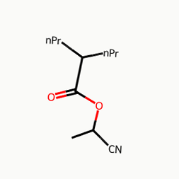 CCCC(CCC)C(=O)OC(C)C#N